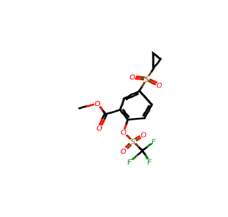 COC(=O)c1cc(S(=O)(=O)C2CC2)ccc1OS(=O)(=O)C(F)(F)F